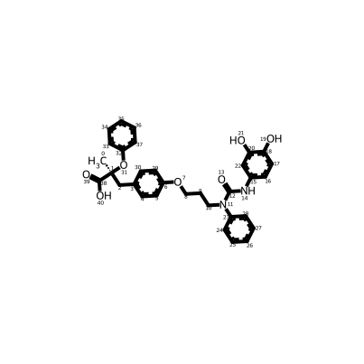 C[C@@](Cc1ccc(OCCCN(C(=O)Nc2ccc(O)c(O)c2)c2ccccc2)cc1)(Oc1ccccc1)C(=O)O